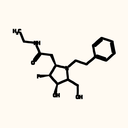 CCNC(=O)C[C@@H]1[C@H](F)[C@H](O)C(CO)N1CCc1ccccc1